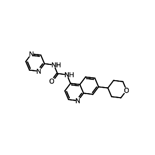 O=C(Nc1cnccn1)Nc1ccnc2cc(C3CCOCC3)ccc12